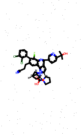 CC(C)(O)c1ccc(-c2nc3c(F)c(-c4cccc(Cl)c4Cl)c(CCC#N)cc3c3c2cc([C@H]2CCCN2C(=O)O)n3[C@H]2[C@H]3CN[C@@H]2C3)cn1